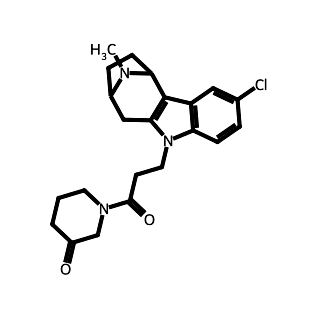 CN1C2CCC1c1c(n(CCC(=O)N3CCCC(=O)C3)c3ccc(Cl)cc13)C2